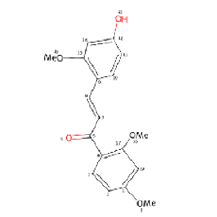 COc1ccc(C(=O)C=Cc2ccc(O)cc2OC)c(OC)c1